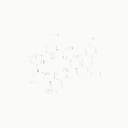 CCC(C)C(N)C(=O)NC(CCC(=O)O)C(=O)NC(CO)C(=O)NC(CC(C)C)C(=O)NC(CC(=O)O)C(=O)NC(CO)C(=O)NC(Cc1ccc(O)cc1)C(=O)O